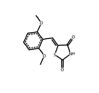 COc1cccc(OC)c1/C=C1\SC(=O)NC1=O